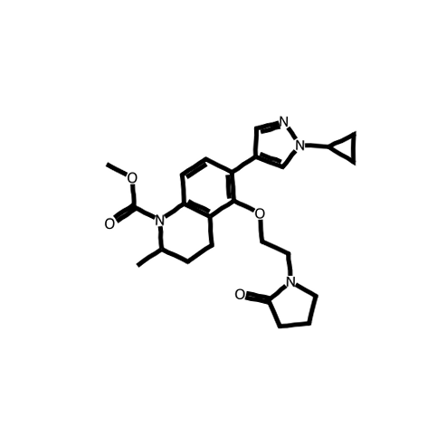 COC(=O)N1c2ccc(-c3cnn(C4CC4)c3)c(OCCN3CCCC3=O)c2CCC1C